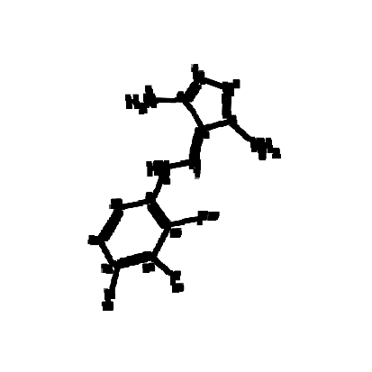 NC1=NN=C(N)C1=NNc1ccc(F)c(F)c1F